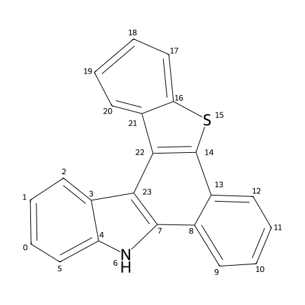 c1ccc2c(c1)[nH]c1c3ccccc3c3sc4ccccc4c3c21